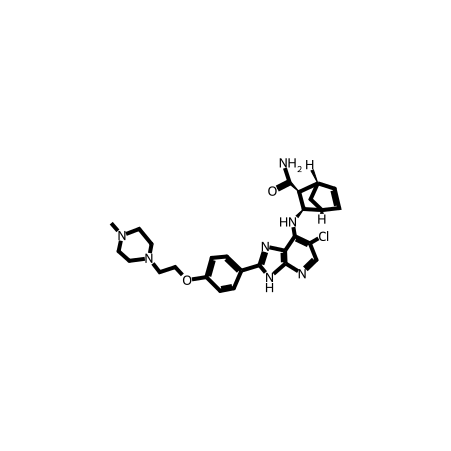 CN1CCN(CCOc2ccc(-c3nc4c(N[C@H]5[C@@H](C(N)=O)[C@@H]6C=C[C@H]5C6)c(Cl)cnc4[nH]3)cc2)CC1